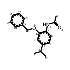 CC(=O)Nc1ccc(C(C)C)cc1OCc1ccccc1